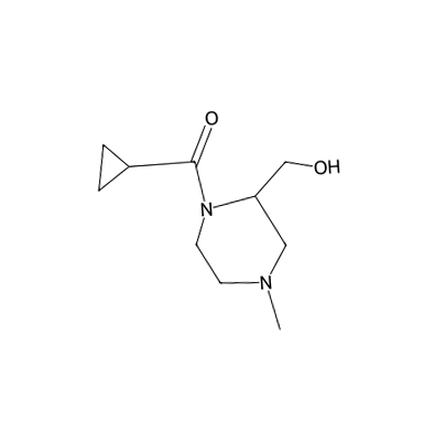 CN1CCN(C(=O)C2CC2)C(CO)C1